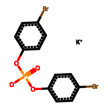 O=P([O-])(Oc1ccc(Br)cc1)Oc1ccc(Br)cc1.[K+]